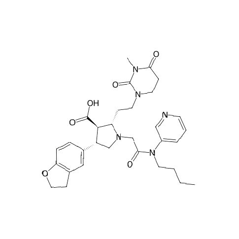 CCCCN(C(=O)CN1C[C@H](c2ccc3c(c2)CCO3)[C@@H](C(=O)O)[C@@H]1CCN1CCC(=O)N(C)C1=O)c1cccnc1